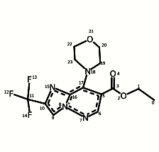 CCOC(=O)c1cnn2cc(C(F)(F)F)nc2c1N1CCOCC1